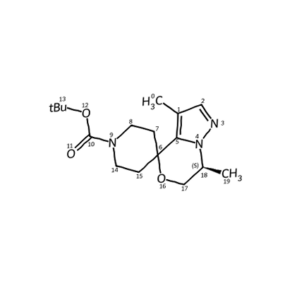 Cc1cnn2c1C1(CCN(C(=O)OC(C)(C)C)CC1)OC[C@@H]2C